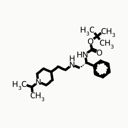 CC(C)N1CCC(CCNC[C@H](NC(=O)OC(C)(C)C)c2ccccc2)CC1